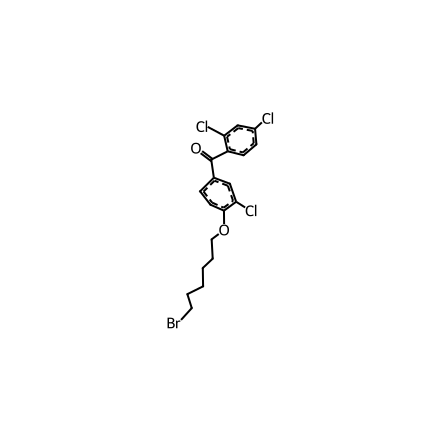 O=C(c1ccc(OCCCCCCBr)c(Cl)c1)c1ccc(Cl)cc1Cl